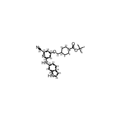 CC(C)(C)OC(=O)N1CCC(COc2cc(C#N)nc(Nc3ccc4cc[nH]c4c3)c2)CC1